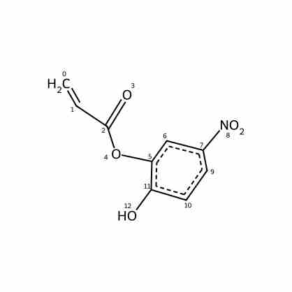 C=CC(=O)Oc1cc([N+](=O)[O-])ccc1O